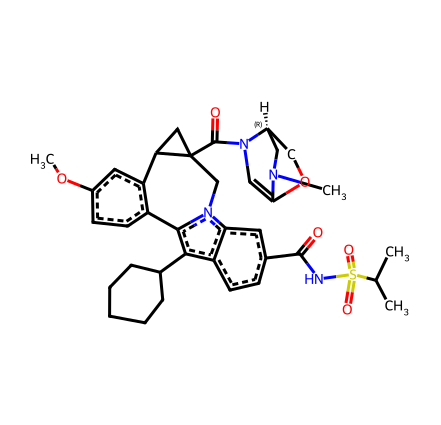 COc1ccc2c(c1)C1CC1(C(=O)N1C=C3OC[C@H]1CN3C)Cn1c-2c(C2CCCCC2)c2ccc(C(=O)NS(=O)(=O)C(C)C)cc21